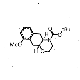 COc1cccc2c1C[C@H]1OCCN(C(=O)OC(C)(C)C)[C@@H]1C2